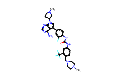 CN1CCN(Cc2ccc(NC(=O)Nc3ccc(-c4cn(C5CCN(C)C5)c5ncnc(N)c45)cc3F)cc2C(F)(F)F)CC1